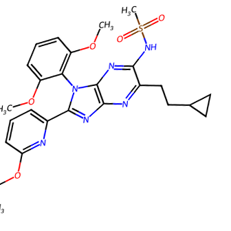 CCOc1cccc(-c2nc3nc(CCC4CC4)c(NS(C)(=O)=O)nc3n2-c2c(OC)cccc2OC)n1